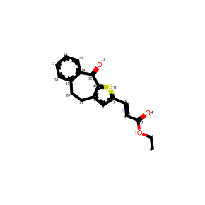 CCOC(=O)/C=C/c1cc2c(s1)C(=O)c1ccccc1CC2